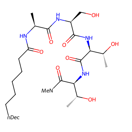 CCCCCCCCCCCCCCCC(=O)N[C@@H](C)C(=O)N[C@@H](CO)C(=O)N[C@H](C(=O)N[C@H](C(=O)NC)[C@@H](C)O)[C@@H](C)O